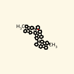 Cc1ccc2c(c1)C1(c3ccccc3-c3ccccc31)c1cc(N(c3ccccc3)c3ccc4c(c3)C3(c5ccccc5-c5ccccc53)c3cc(N(c5ccccc5)c5ccc6c(c5)C5(c7ccccc7-c7ccccc75)c5cc(C)ccc5-6)ccc3-4)ccc1-2